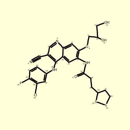 N#Cc1cnc2cc(OCC(O)CO)c(NC(=O)CCC3CCSS3)cc2c1Nc1ccc(F)c(Cl)c1